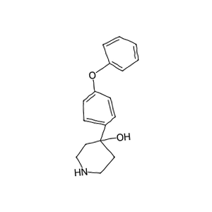 OC1(c2ccc(Oc3ccccc3)cc2)CCNCC1